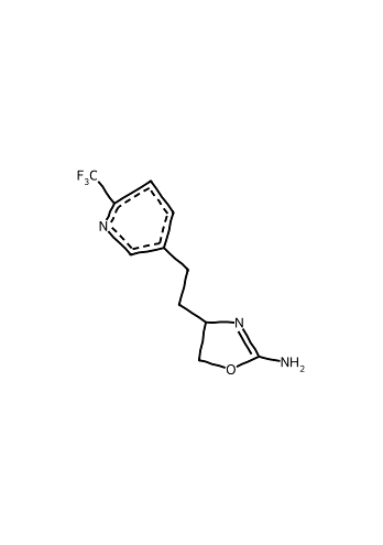 NC1=NC(CCc2ccc(C(F)(F)F)nc2)CO1